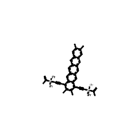 C=C(C)[Si](C#Cc1c(C)c(C)c(C#C[Si](C(=C)C)(C(C)C)C(C)C)c2cc3cc4cc5cc(C)c(C)cc5cc4cc3cc12)(C(C)C)C(C)C